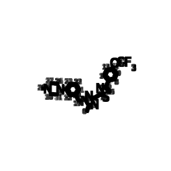 Cc1nc(-c2nc(-c3ccc(OC(F)(F)F)cc3)cs2)nn1Cc1cccc(N2CCN(C)CC2)c1